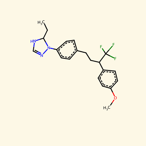 CCC1NC=NN1c1ccc(CCC(c2ccc(OC)cc2)C(F)(F)F)cc1